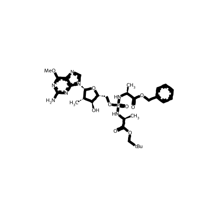 COc1nc(N)nc2c1ncn2[C@@H]1O[C@H](COP(=O)(N[C@@H](C)C(=O)OCc2ccccc2)N[C@@H](C)C(=O)OCC(C)(C)C)[C@@H](O)[C@@H]1C